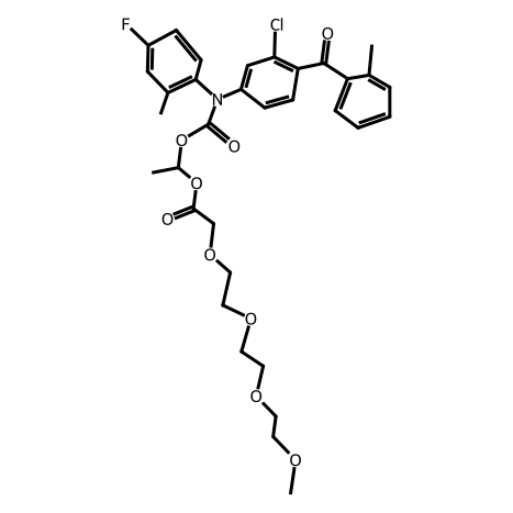 COCCOCCOCCOCC(=O)OC(C)OC(=O)N(c1ccc(C(=O)c2ccccc2C)c(Cl)c1)c1ccc(F)cc1C